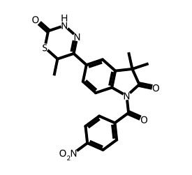 CC1SC(=O)NN=C1c1ccc2c(c1)C(C)(C)C(=O)N2C(=O)c1ccc([N+](=O)[O-])cc1